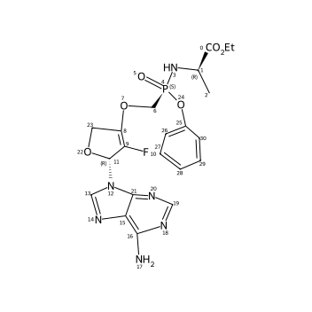 CCOC(=O)[C@@H](C)N[P@](=O)(COC1=C(F)[C@H](n2cnc3c(N)ncnc32)OC1)Oc1ccccc1